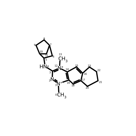 C[n+]1nc(NC2CC3CCC2C3)[n+](C)c2cc3c(cc21)CCCC3